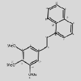 COc1cc(CCc2cccc3ccccc23)cc(OC)c1OC